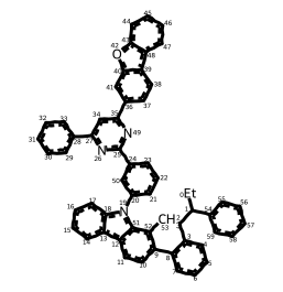 CCC(Cc1ccccc1-c1ccc2c3ccccc3n(-c3cccc(-c4nc(-c5ccccc5)cc(-c5ccc6c(c5)oc5ccccc56)n4)c3)c2c1C)c1ccccc1